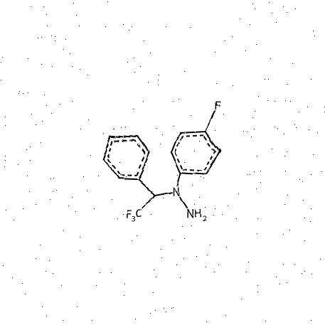 NN(c1ccc(F)cc1)C(c1ccccc1)C(F)(F)F